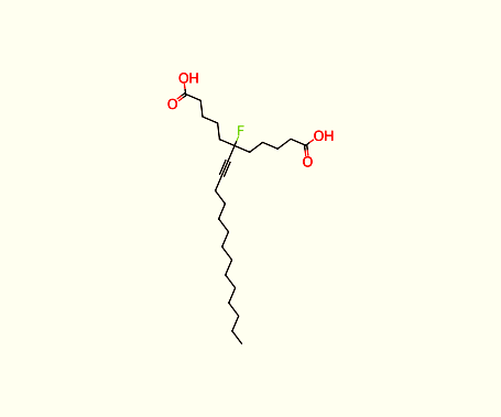 CCCCCCCCCCCCC#CC(F)(CCCCC(=O)O)CCCCC(=O)O